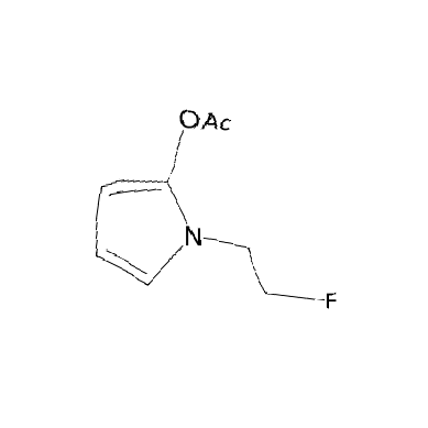 CC(=O)Oc1cccn1CCF